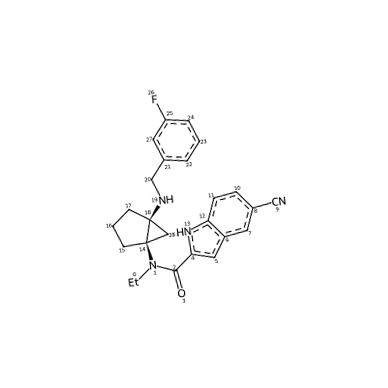 CCN(C(=O)c1cc2cc(C#N)ccc2[nH]1)[C@@]12CCC[C@]1(NCc1cccc(F)c1)C2